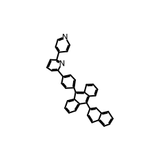 c1cc(-c2ccncc2)nc(-c2ccc(-c3c4ccccc4c(-c4ccc5ccccc5c4)c4ccccc34)cc2)c1